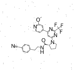 COc1cc(-c2cc(N3CCC[C@H]3C(=O)NCCc3ccc(C#N)cc3)nc(C(F)(F)F)n2)ccn1